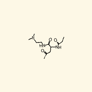 CCC(=O)NC(CC(C)=O)C(=O)NCCN(C)C